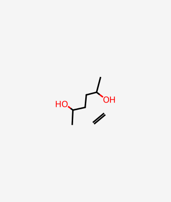 C=C.CC(O)CCC(C)O